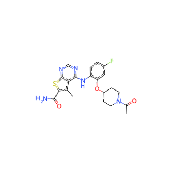 CC(=O)N1CCC(Oc2cc(F)ccc2Nc2ncnc3sc(C(N)=O)c(C)c23)CC1